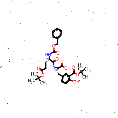 CC(C)(C)OC(=O)CC[C@H](NC(=O)OCc1ccccc1)C(=O)N[C@@H](Cc1ccc(O)c(C(=O)OC(C)(C)C)c1)C(=O)O